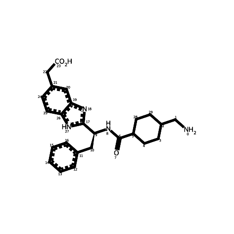 NCC1CCC(C(=O)N[C@@H](Cc2ccccc2)c2nc3cc(CC(=O)O)ccc3[nH]2)CC1